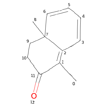 CC1=C2C=CC=CC2(C)CCC1=O